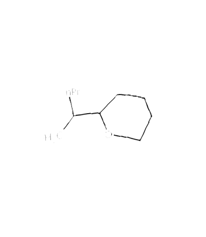 [CH2]C(CCC)C1CCCCO1